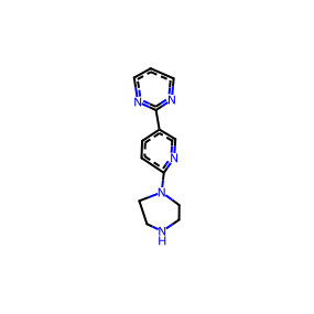 c1cnc(-c2ccc(N3CCNCC3)nc2)nc1